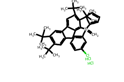 Cl.Cl.[CH2]=[Zr]([C]1=CC=CC1)([c]1cccc(Cl)c1)[c]1c2c(cc(C(C)(C)C)c1C(C)(C)C)-c1cc(C(C)(C)C)c(C(C)(C)C)cc1C2